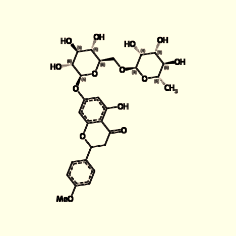 COc1ccc(C2CC(=O)c3c(O)cc(O[C@@H]4O[C@H](CO[C@@H]5O[C@@H](C)[C@H](O)[C@@H](O)[C@H]5O)[C@@H](O)[C@H](O)[C@H]4O)cc3O2)cc1